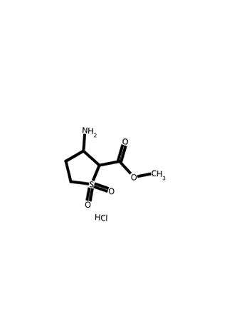 COC(=O)C1C(N)CCS1(=O)=O.Cl